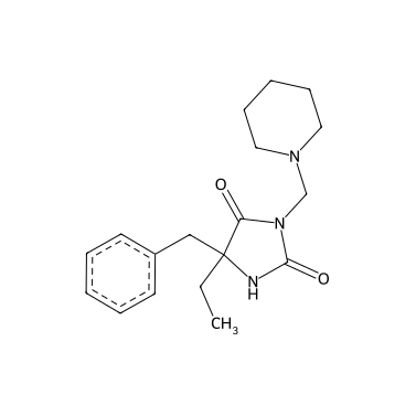 CCC1(Cc2ccccc2)NC(=O)N(CN2CCCCC2)C1=O